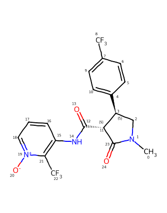 CN1C[C@H](c2ccc(C(F)(F)F)cc2)[C@@H](C(=O)Nc2ccc[n+]([O-])c2C(F)(F)F)C1=O